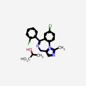 CC(O)C(=O)O.Cc1ncc2n1-c1ccc(Cl)cc1C(c1ccccc1F)=NC2